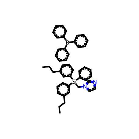 CCCc1cccc([Si](Cn2ccnc2)(c2ccccc2)c2cccc(CCC)c2)c1.c1ccc(B(c2ccccc2)c2ccccc2)cc1